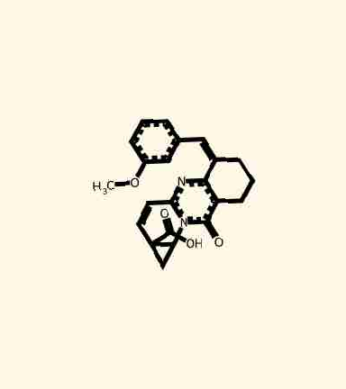 COc1cccc(/C=C2/CCCc3c2nc2n(c3=O)C3CC3(C(=O)O)C=C2)c1